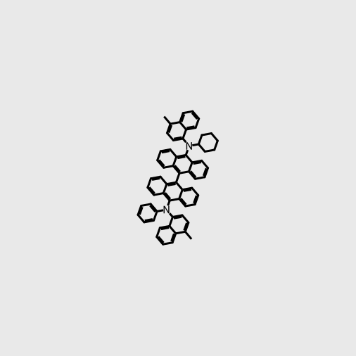 Cc1ccc(N(c2ccccc2)c2c3ccccc3c(-c3c4ccccc4c(N(c4ccc(C)c5ccccc45)C4CCCCC4)c4ccccc34)c3ccccc23)c2ccccc12